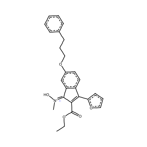 CCOC(=O)C1=C(c2ccco2)c2ccc(OCCCc3ccccc3)cc2/C1=[N+](/C)O